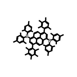 Cc1cc(C)c(B(c2c(C)cc(C)cc2C)c2cc(-c3c(C)cc(C)c(C)c3C)c3ccc4c(B(c5c(C)cc(C)cc5C)c5c(C)cc(C)cc5C)cc(-c5c(C)c(C)c(C)c(C)c5C)c5ccc2c3c45)c(C)c1